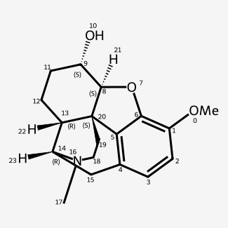 COc1ccc2c3c1O[C@@H]1[C@@H](O)CC[C@H]4[C@@H](C2)N(C)CC[C@]314